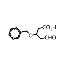 O=CCC(CC(=O)O)OCc1ccccc1